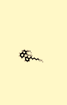 CCCCCC(=O)c1ccccc1Nc1c(N)cnc2ccccc12